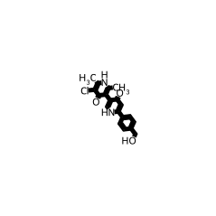 Cc1[nH]c(C)c(-c2c[nH]c(-c3ccc(CO)cc3)cc2=O)c(=O)c1Cl